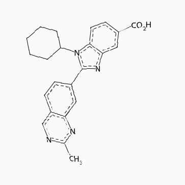 Cc1ncc2ccc(-c3nc4cc(C(=O)O)ccc4n3C3CCCCC3)cc2n1